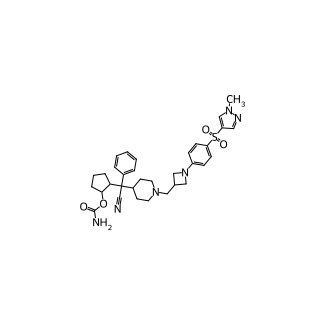 Cn1cc(S(=O)(=O)c2ccc(N3CC(CN4CCC(C(C#N)(c5ccccc5)C5CCCC5OC(N)=O)CC4)C3)cc2)cn1